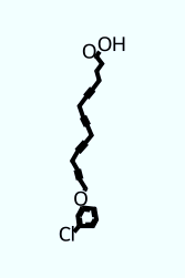 O=C(O)CCCC#CCC#CCC#CCC#CCOc1cccc(Cl)c1